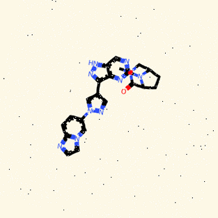 CN1CC2CCC(C1=O)N2c1ncc2[nH]nc(-c3cnn(-c4ccc5nccn5c4)c3)c2n1